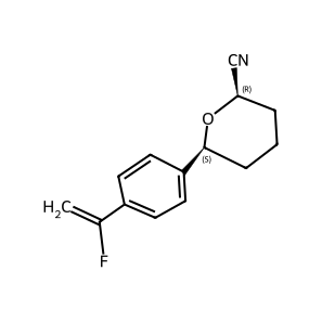 C=C(F)c1ccc([C@@H]2CCC[C@H](C#N)O2)cc1